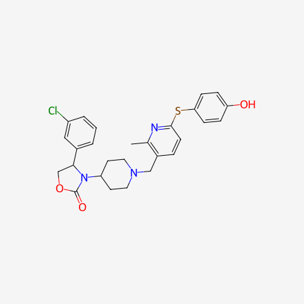 Cc1nc(Sc2ccc(O)cc2)ccc1CN1CCC(N2C(=O)OCC2c2cccc(Cl)c2)CC1